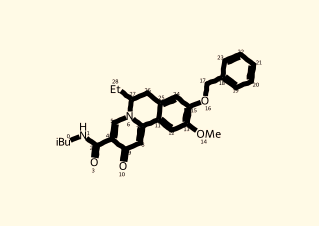 CCC(C)NC(=O)c1cn2c(cc1=O)-c1cc(OC)c(OCc3ccccc3)cc1CC2CC